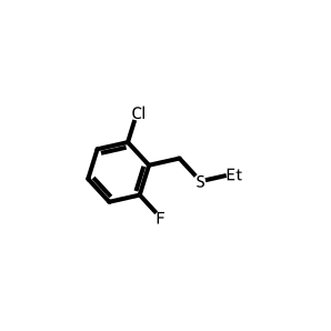 [CH2]CSCc1c(F)cccc1Cl